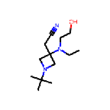 CCN(CCO)C1(CC#N)CN(C(C)(C)C)C1